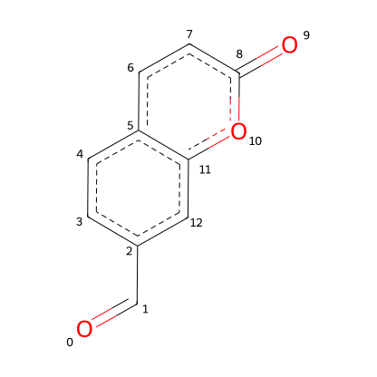 O=Cc1ccc2ccc(=O)oc2c1